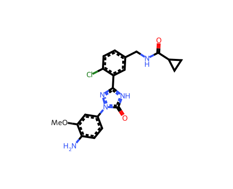 COc1cc(-n2nc(-c3cc(CNC(=O)C4CC4)ccc3Cl)[nH]c2=O)ccc1N